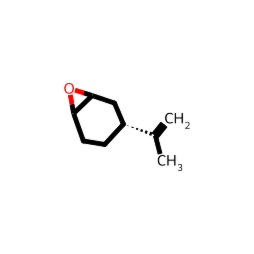 C=C(C)[C@@H]1CCC2OC2C1